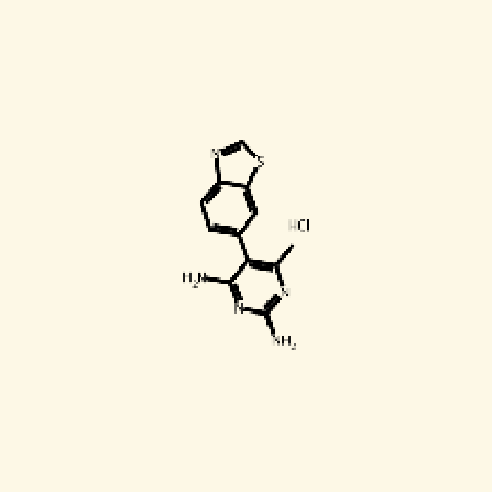 Cc1nc(N)nc(N)c1-c1ccc2ncsc2c1.Cl